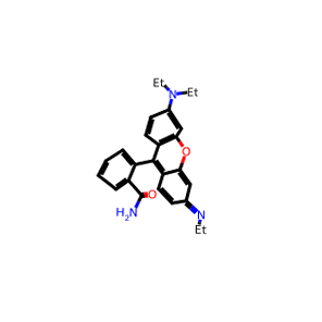 CC/N=c1\ccc2c(-c3ccccc3C(N)=O)c3ccc(N(CC)CC)cc3oc-2c1